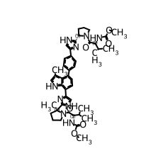 COC(=O)N[C@H](C(=O)N1CCC[C@H]1c1nc(-c2ccc(-c3ccc(-c4c[nH]c([C@]5(C)CCCN5C(=O)[C@@H](NC(=O)OC)C(C)C)n4)c4[nH]cc(C)c34)cc2)c[nH]1)C(C)C